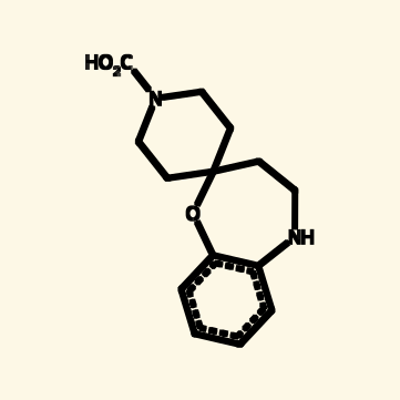 O=C(O)N1CCC2(CCNc3ccccc3O2)CC1